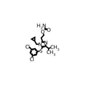 CC(C)c1nc(CCOC(N)=O)n(CC2CC2)c1Sc1cc(Cl)cc(Cl)c1